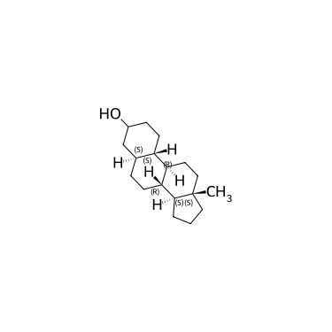 C[C@@]12CCC[C@H]1[C@@H]1CC[C@H]3CC(O)CC[C@@H]3[C@H]1CC2